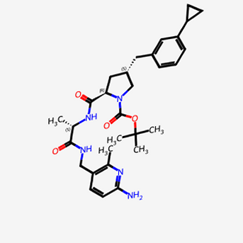 Cc1nc(N)ccc1CNC(=O)[C@H](C)NC(=O)[C@H]1C[C@H](Cc2cccc(C3CC3)c2)CN1C(=O)OC(C)(C)C